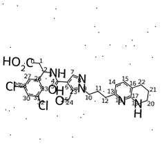 O=C(O)CC(NC(=O)c1cnn(CCCc2ccc3c(n2)NCCC3)c1CO)c1cc(Cl)cc(Cl)c1